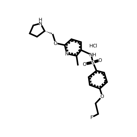 Cc1nc(OC[C@@H]2CCCN2)ccc1NS(=O)(=O)c1ccc(OCCF)cc1.Cl